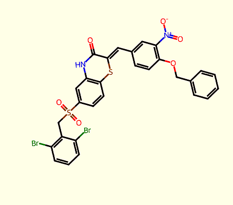 O=C1Nc2cc(S(=O)(=O)Cc3c(Br)cccc3Br)ccc2S/C1=C\c1ccc(OCc2ccccc2)c([N+](=O)[O-])c1